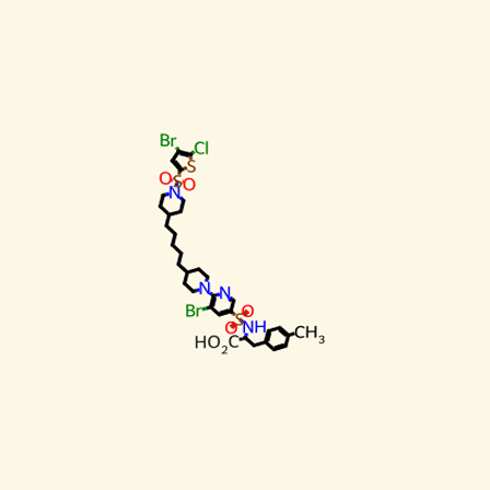 Cc1ccc(CC(NS(=O)(=O)c2cnc(N3CCC(CCCCCC4CCN(S(=O)(=O)c5cc(Br)c(Cl)s5)CC4)CC3)c(Br)c2)C(=O)O)cc1